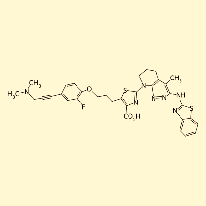 Cc1c(Nc2nc3ccccc3s2)nnc2c1CCCN2c1nc(C(=O)O)c(CCCOc2ccc(C#CCN(C)C)cc2F)s1